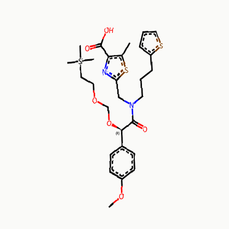 COc1ccc([C@@H](OCOCC[Si](C)(C)C)C(=O)N(CCCc2cccs2)Cc2nc(C(=O)O)c(C)s2)cc1